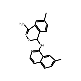 Cc1ccc2c(c1)C(N)=NOC2Nc1nccc2ccc(C)cc12